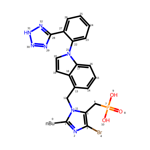 CCCCc1nc(Br)c(CP(=O)(O)O)n1Cc1cccc2c1ccn2-c1ccccc1-c1nn[nH]n1